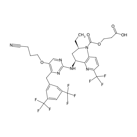 CC[C@@H]1C[C@H](Nc2ncc(OCCCC#N)c(Cc3cc(C(F)(F)F)cc(C(F)(F)F)c3)n2)c2nc(C(F)(F)F)ccc2N1C(=O)OCCC(=O)O